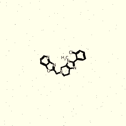 Cn1c(-c2ccccc2Cl)nc2c1CN(Cc1nc3ncccc3o1)CC2